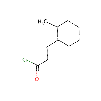 CC1CCCCC1CCC(=O)Cl